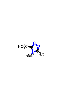 CCCCn1c(CC)nnc1C(=O)O